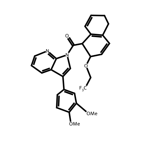 COc1ccc(-c2cn(C(=O)C3C4=C(C=CC3OCC(F)(F)F)CCC=C4)c3ncccc23)cc1OC